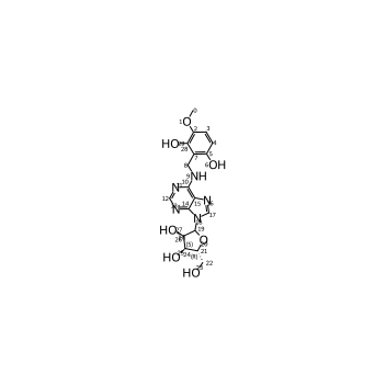 COc1ccc(O)c(CNc2ncnc3c2ncn3C2O[C@H](CO)[C@@H](O)[C@H]2O)c1O